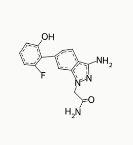 NC(=O)Cn1nc(N)c2ccc(-c3c(O)cccc3F)cc21